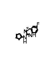 Fc1ccc2c(c1)SN=C(NC1CCCC1)N2